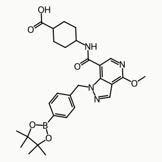 COc1ncc(C(=O)NC2CCC(C(=O)O)CC2)c2c1cnn2Cc1ccc(B2OC(C)(C)C(C)(C)O2)cc1